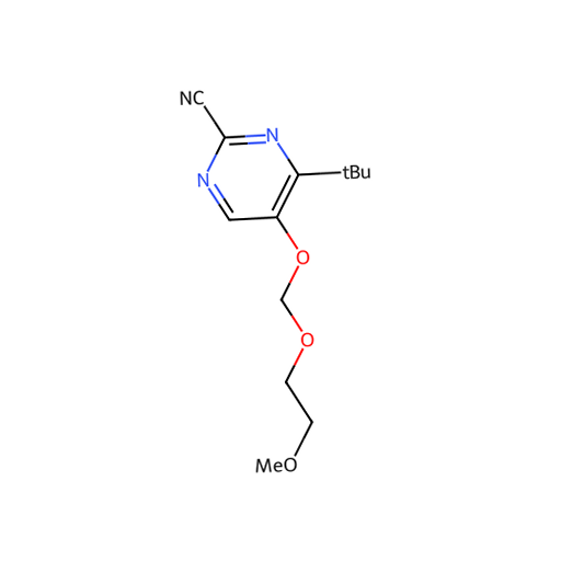 COCCOCOc1cnc(C#N)nc1C(C)(C)C